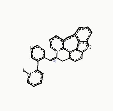 I[n+]1ccccc1-c1cnccc1/C=C1/Cc2ccc3oc4cccc5c6ccc[n+]1c6c2c3c45